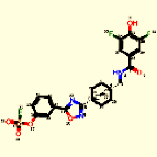 O=C(NC[C@]12CC[C@](c3noc(-c4cccc(OS(=O)(=O)F)c4)n3)(CC1)CC2)c1cc(F)c(O)c(F)c1